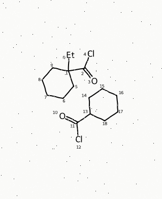 CCC1(C(=O)Cl)CCCCC1.O=C(Cl)C1CCCCC1